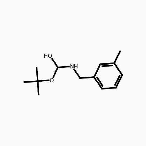 Cc1cccc(CNC(O)OC(C)(C)C)c1